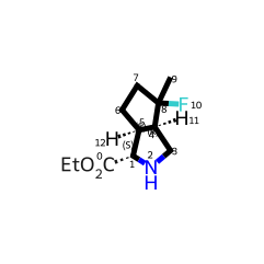 CCOC(=O)[C@H]1NC[C@H]2[C@@H]1CCC2(C)F